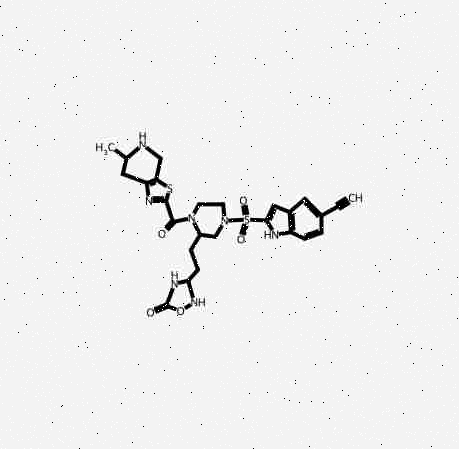 C#Cc1ccc2[nH]c(S(=O)(=O)N3CCN(C(=O)c4nc5c(s4)CNC(C)C5)C(CCC4NOC(=O)N4)C3)cc2c1